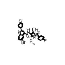 Cc1nn(Cc2ccc(F)cc2)c(C)c1NC(=O)c1cc(-c2ccc(Cl)cc2)nc2ccc(Br)cc12